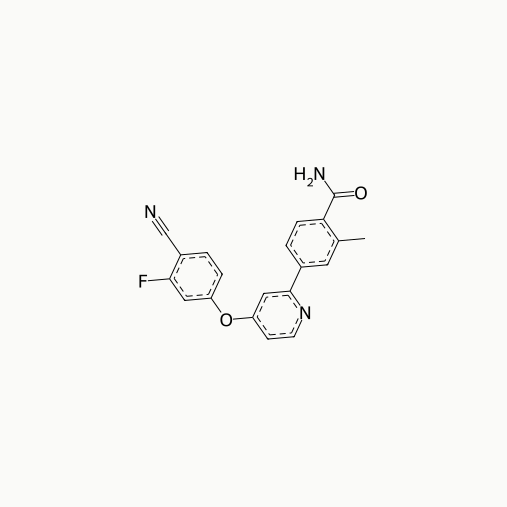 Cc1cc(-c2cc(Oc3ccc(C#N)c(F)c3)ccn2)ccc1C(N)=O